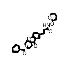 O=C(/C=C/c1ccc2c(c1)C(=O)C1(CCN(C(=O)c3ccccc3)CC1)O2)NOC1CCCCO1